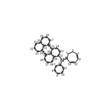 C1=CCC[C@H](N(c2ccccc2)c2ccc3c4cccc5cccc(c6cccc2c63)c54)C=C1